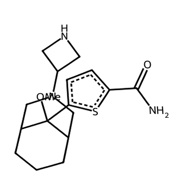 COC1(c2ccc(C(N)=O)s2)C2CCCC1CN(C1CNC1)C2